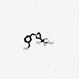 CC(C)(NC(=O)O)C1CCN(Cc2cccc(CN)c2)C1